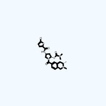 C[C@H]1Cc2cc(C(=O)N3C[C@H](NC(=O)c4ccc(Cl)s4)C[C@@H]3OC(=O)N(C)C)ccc2CN1C